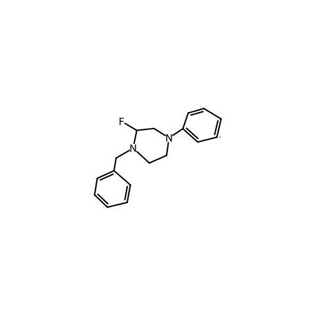 FC1CN(c2c[c]ccc2)CCN1Cc1ccccc1